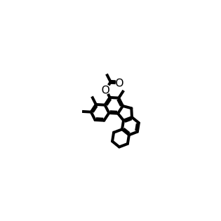 CC(=O)Oc1c(C)c2c(c3ccc(C)c(C)c13)-c1c(ccc3c1CCCC3)C2